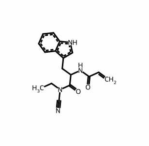 C=CC(=O)NC(Cc1c[nH]c2ccccc12)C(=O)N(C#N)CC